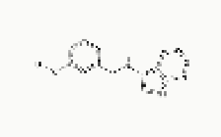 COc1cccc(CNc2c[nH]c3ncccc23)c1